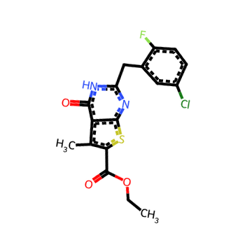 CCOC(=O)c1sc2nc(Cc3cc(Cl)ccc3F)[nH]c(=O)c2c1C